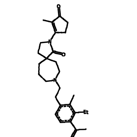 C=C(C)c1ccc(CCN2CCCC3(CC2)CCN(C2=C(C)C(=O)CC2)C3=O)c(C)c1CC